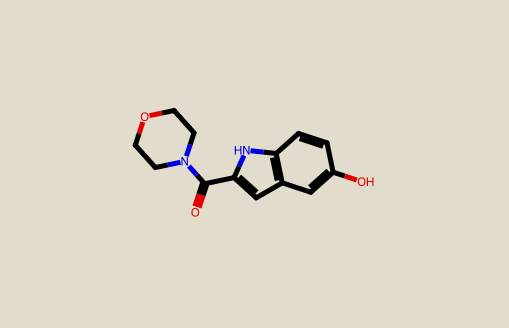 O=C(c1cc2cc(O)ccc2[nH]1)N1CCOCC1